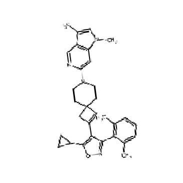 Cc1cccc(C)c1-c1noc(C2CC2)c1C1=CC2(CCN(c3cc4c(cn3)c(C)cn4C)CC2)C1